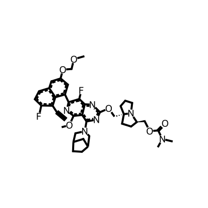 C#Cc1c(F)ccc2cc(OCOC)cc(-c3nc(OC)c4c(N5CC6CCC(C6)C5)nc(OC[C@]56CCCN5[C@@H](COC(=O)N(C)C)CC6)nc4c3F)c12